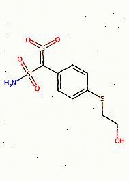 NS(=O)(=O)C(c1ccc(SCCO)cc1)=S(=O)=O